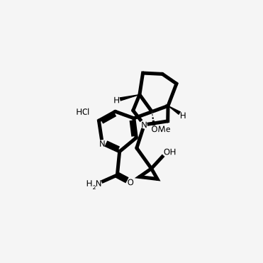 CO[C@@]1(c2ccnc(C(N)=O)c2)[C@@H]2CCC[C@H]1CN(CC1(O)CC1)C2.Cl